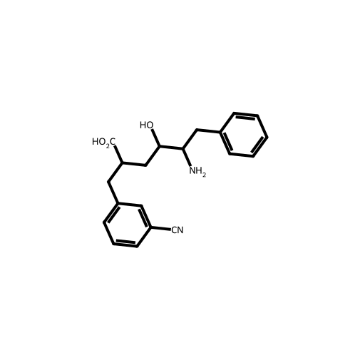 N#Cc1cccc(CC(CC(O)C(N)Cc2ccccc2)C(=O)O)c1